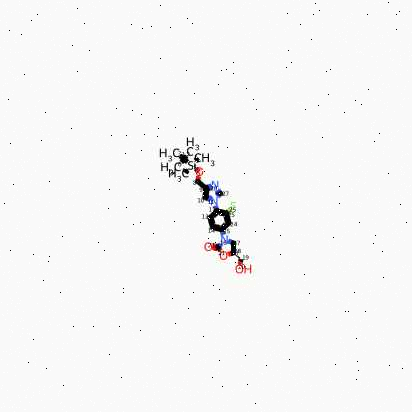 CC(C)(C)[Si](C)(C)OCc1cn(-c2ccc(N3C[C@H](CO)OC3=O)cc2F)cn1